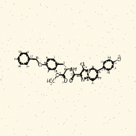 COC(=O)[C@H](Cc1ccc(OCc2ccccc2)cc1)NC(=O)c1nc2ccc(-c3ccc(Cl)cc3)cn2c1Cl